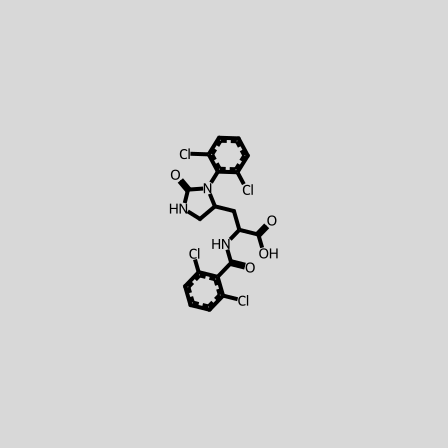 O=C(NC(CC1CNC(=O)N1c1c(Cl)cccc1Cl)C(=O)O)c1c(Cl)cccc1Cl